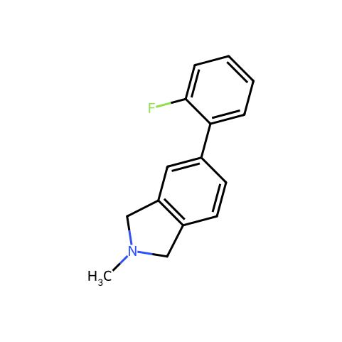 CN1Cc2ccc(-c3ccccc3F)cc2C1